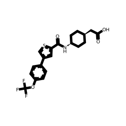 O=C(O)C[C@H]1CC[C@H](NC(=O)c2cc(-c3ccc(OC(F)(F)F)cc3)cs2)CC1